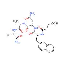 CC(C)[C@H](NC(=O)[C@H](C)NC(=O)[C@H](CC(N)=O)NC(=O)[C@H](Cc1ccc2ccccc2c1)NC(=O)CCC(=O)O)C(N)=O